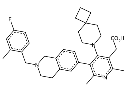 Cc1cc(F)ccc1CN1CCc2cc(-c3c(C)nc(C)c(CC(=O)O)c3N3CCC4(CCC4)CC3)ccc2C1